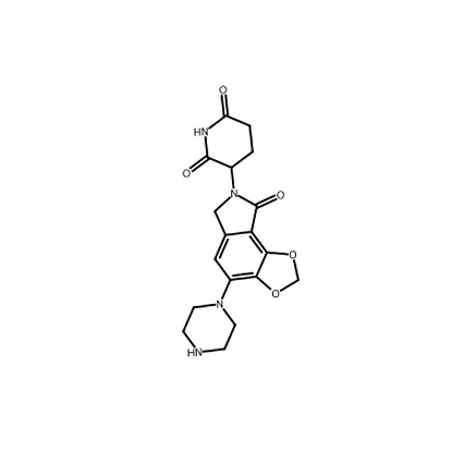 O=C1CCC(N2Cc3cc(N4CCNCC4)c4c(c3C2=O)OCO4)C(=O)N1